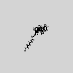 CCCCCCCCCCCCNc1cccc(O)c1NS(=O)(=O)c1ccccc1